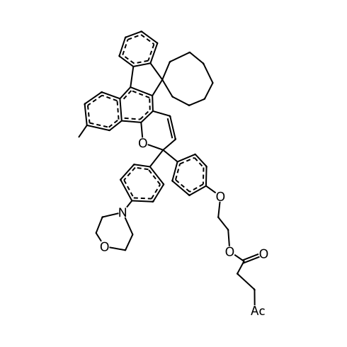 CC(=O)CCC(=O)OCCOc1ccc(C2(c3ccc(N4CCOCC4)cc3)C=Cc3c4c(c5ccc(C)cc5c3O2)-c2ccccc2C42CCCCCCC2)cc1